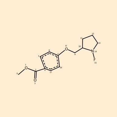 COC(=O)c1ccc(OCC2CCCN2F)cc1